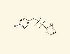 CC(C)(Cc1ccc(F)cc1)C(C)(C)c1ccccn1